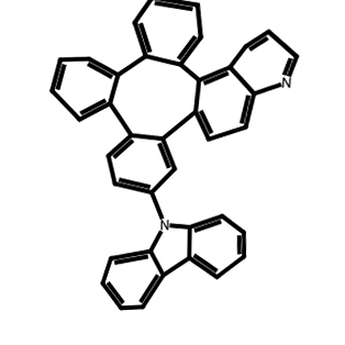 c1ccc2c(c1)-c1ccc(-n3c4ccccc4c4ccccc43)cc1-c1ccc3ncccc3c1-c1ccccc1-2